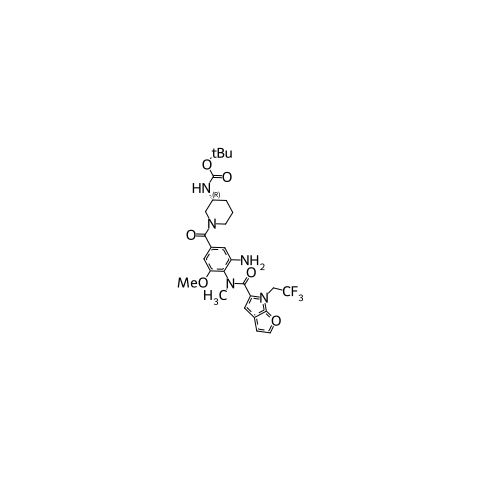 COc1cc(C(=O)N2CCC[C@@H](NC(=O)OC(C)(C)C)C2)cc(N)c1N(C)C(=O)c1cc2ccoc2n1CC(F)(F)F